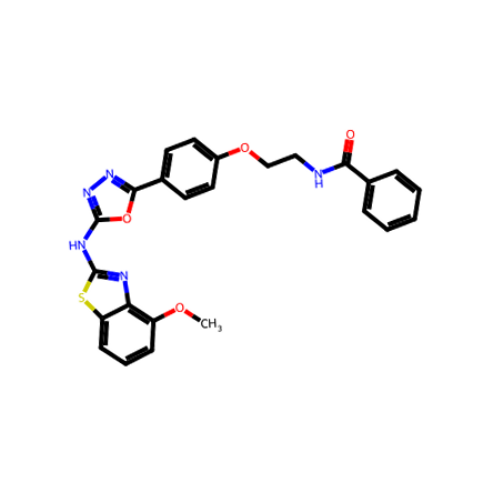 COc1cccc2sc(Nc3nnc(-c4ccc(OCCNC(=O)c5ccccc5)cc4)o3)nc12